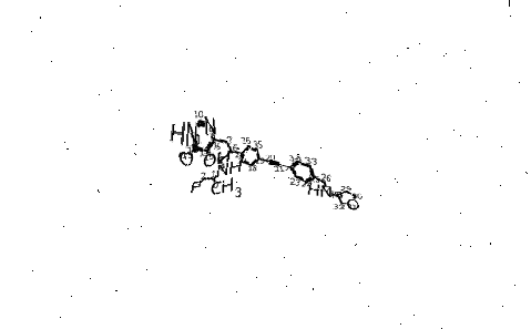 CC(CF)NCC(Cc1nc[nH]c(=O)c1O)c1ccc(C#Cc2ccc(CN[C@H]3CCOC3)cc2)cc1